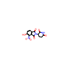 O=C1CCC(N2C(=O)c3ccc(O)c([N+](=O)[O-])c3C2=O)C(=O)N1